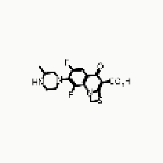 CC1CN(c2c(F)cc3c(=O)c(C(=O)O)c4n(c3c2F)CS4)CCN1